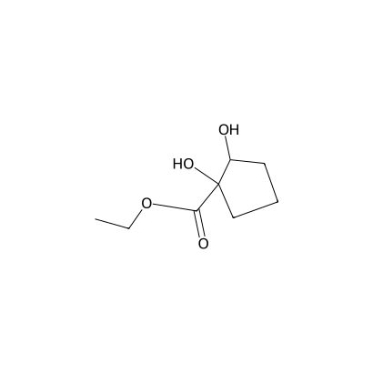 CCOC(=O)C1(O)CCCC1O